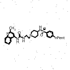 CCCCCc1ccc(S(=O)(=O)NC2CCN(CCNC(=O)Nc3cc(C)nc4ccccc34)CC2)cc1